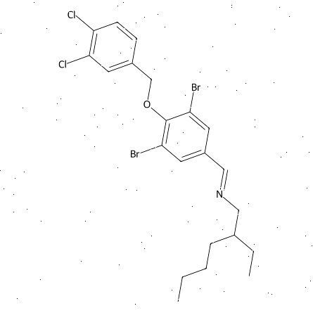 CCCCC(CC)CN=Cc1cc(Br)c(OCc2ccc(Cl)c(Cl)c2)c(Br)c1